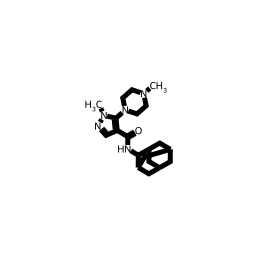 CN1CCN(c2c(C(=O)NC3C4CC5CC(C4)CC3C5)cnn2C)CC1